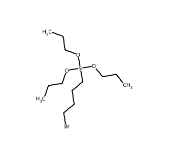 CCCO[Si](CCCCBr)(OCCC)OCCC